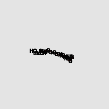 C[C@@H]1CN(c2ncc(-c3ccc4c(n3)N(Cc3cccnc3C#N)C(C)(C)C4=O)cn2)CCN1C(=O)Cn1cc(COCCOCCOC2CN(CCOCCOc3cccc(Oc4ccc(C(=O)N[C@@H](CCC(C)(C)C)C(=O)O)cn4)c3)C2)nn1